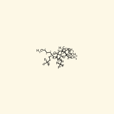 CCCC[Si](C)(CCC(F)(F)F)OC(CC)(CCC)[Si](C)(CCC(F)(F)F)OC(CC)(CC)[SiH](C)C